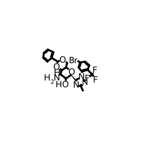 Cc1nc([C@@H]2OC3COC(c4ccccc4)O[C@@H]3C(N)C2O)n(-c2cc(Br)ccc2C(F)(F)F)n1